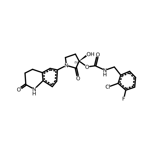 O=C1CCc2cc(N3CC[C@](O)(OC(=O)NCc4cccc(F)c4Cl)C3=O)ccc2N1